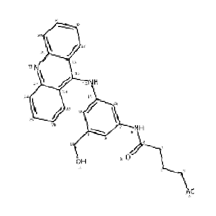 CC(=O)CCCC(=O)Nc1cc(CO)cc(Nc2c3ccccc3nc3ccccc23)c1